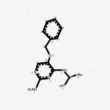 CCCC[C@@H](CCC)Nc1nc(NC(C)=O)ncc1OCc1ccccc1